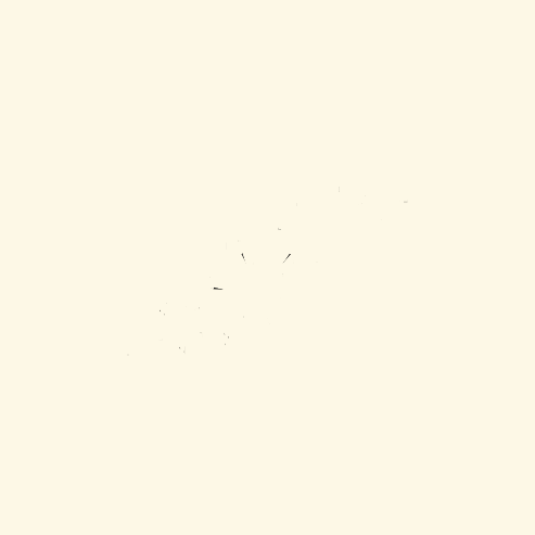 O=c1nc(N[C@H]2CO[C@H](C3CCC(CC4CCC4)CC3)[C@H](O)[C@@H]2O)s[nH]1